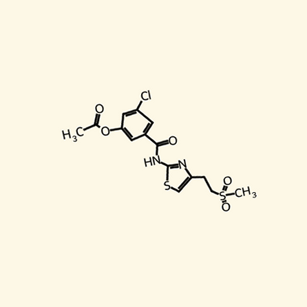 CC(=O)Oc1cc(Cl)cc(C(=O)Nc2nc(CCS(C)(=O)=O)cs2)c1